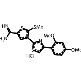 COc1ccc(-c2csc(-c3cc(C(=N)N)sc3SC)n2)c(OC)c1.Cl